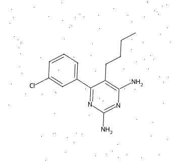 CCCCc1c(N)nc(N)nc1-c1cccc(Cl)c1